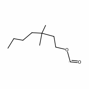 CCCCC(C)(C)CCO[C]=O